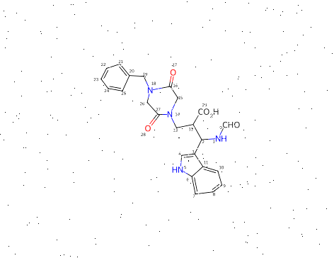 O=CNC(c1c[nH]c2ccccc12)C(CN1CC(=O)N(Cc2ccccc2)CC1=O)C(=O)O